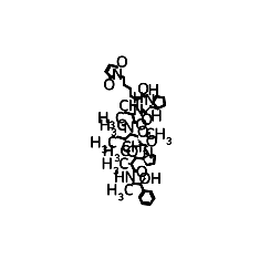 CC[C@H](C)[C@@H]([C@@H](CC(=O)N1CCC[C@H]1[C@H](OC)[C@@H](C)C(=O)N[C@H](C)[C@@H](O)c1ccccc1)OC)N(C)C(=O)[C@@H](NC(=O)[C@@H]1[C@H]2CC[C@@H](C2)N1C(=O)CCCCCN1C(=O)C=CC1=O)C(C)C